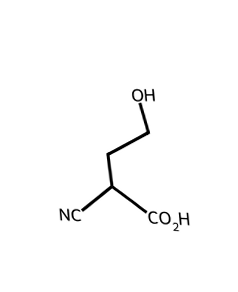 N#CC(CCO)C(=O)O